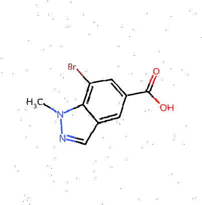 Cn1ncc2cc(C(=O)O)cc(Br)c21